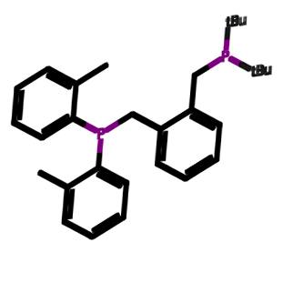 Cc1ccccc1P(Cc1ccccc1CP(C(C)(C)C)C(C)(C)C)c1ccccc1C